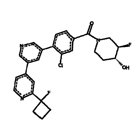 O=C(c1ccc(-c2cncc(-c3ccnc(C4(F)CCC4)c3)c2)c(Cl)c1)N1CC[C@@H](O)[C@H](F)C1